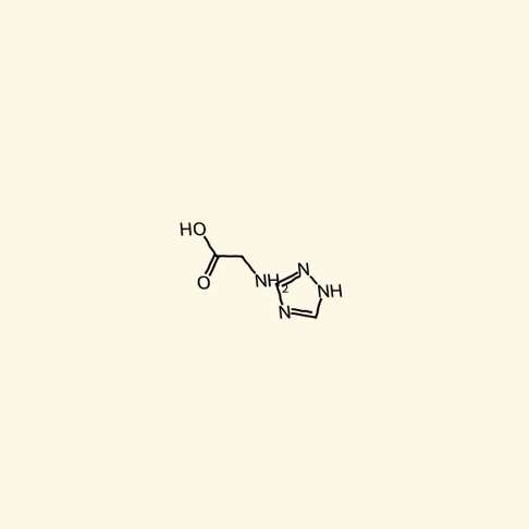 NCC(=O)O.c1nc[nH]n1